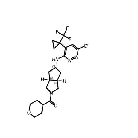 O=C(C1CCOCC1)N1C[C@H]2C[C@H](Nc3nnc(Cl)cc3C3(C(F)(F)F)CC3)C[C@H]2C1